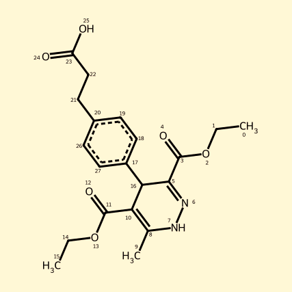 CCOC(=O)C1=NNC(C)=C(C(=O)OCC)C1c1ccc(CCC(=O)O)cc1